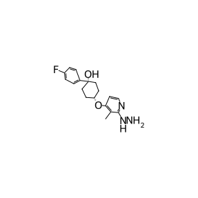 Cc1c(O[C@H]2CC[C@](O)(c3ccc(F)cc3)CC2)ccnc1NN